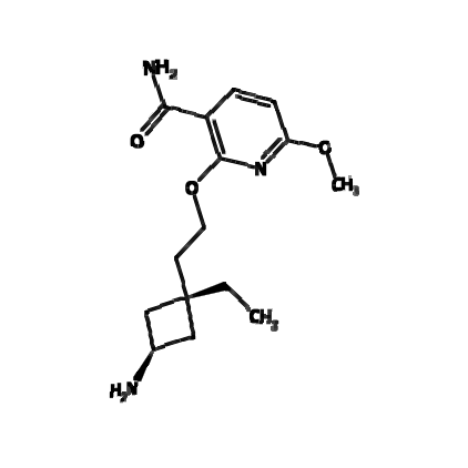 CC[C@]1(CCOc2nc(OC)ccc2C(N)=O)C[C@H](N)C1